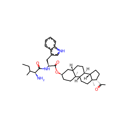 CCC(C)[C@H](N)C(=O)N[C@@H](Cc1c[nH]c2ccccc12)C(=O)O[C@@H]1CC[C@@]2(C)[C@@H](CC[C@@H]3[C@@H]2CC[C@]2(C)[C@@H](C(C)=O)CC[C@@H]32)C1